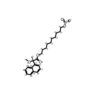 CO[C@](C)(C(=O)OCCCCCCCCCCO[N+](=O)[O-])c1cccc2ccccc12